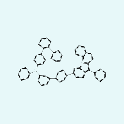 c1ccc(-c2ccccc2-c2ccc(N(c3ccccc3)c3cccc(-c4ccc(-c5ccc6c(-c7ccccc7)c7ccc8ccccc8n7c6c5)cc4)c3)cc2)cc1